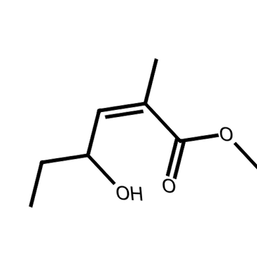 CCC(O)C=C(C)C(=O)OC